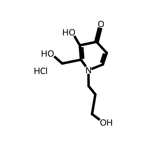 Cl.O=c1ccn(CCCO)c(CO)c1O